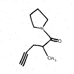 [C]#CCC(C)C(=O)N1CCCC1